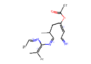 CCC(=O)O/C(=C/C=N)CC(C)\C=N/C(/N=C\C(C)C)=C(/C)C(C)=O